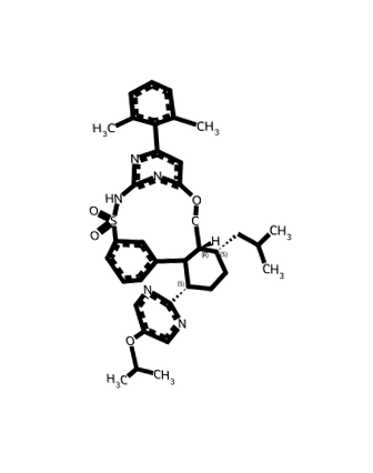 Cc1cccc(C)c1-c1cc2nc(n1)NS(=O)(=O)c1cccc(c1)C1[C@@H](c3ncc(OC(C)C)cn3)CC[C@@H](CC(C)C)[C@H]1CO2